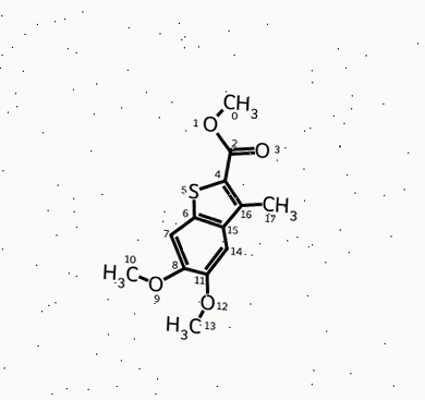 COC(=O)c1sc2cc(OC)c(OC)cc2c1C